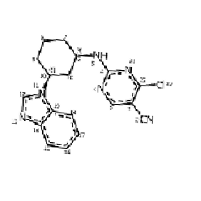 N#Cc1cnc(N[C@@H]2CCC[C@H](n3cnc4ccccc43)C2)nc1Cl